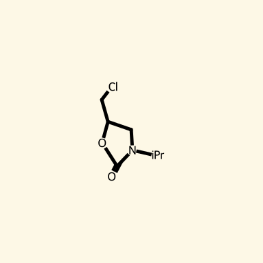 CC(C)N1CC(CCl)OC1=O